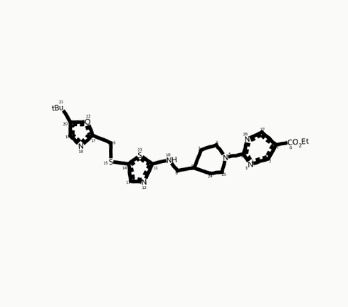 CCOC(=O)c1cnc(N2CCC(CNc3ncc(SCc4ncc(C(C)(C)C)o4)s3)CC2)nc1